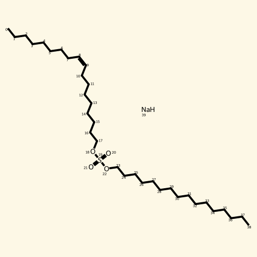 CCCCCCCC/C=C\CCCCCCCCOS(=O)(=O)OCCCCCCCCCCCCCCCC.[NaH]